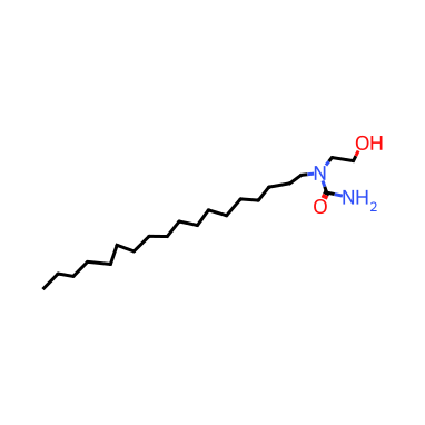 CCCCCCCCCCCCCCCCCCN(CCO)C(N)=O